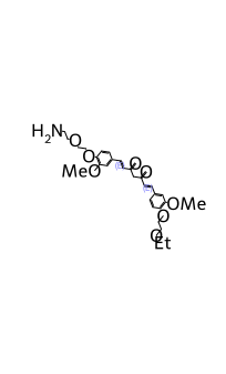 CCOCCOc1ccc(/C=C/C(=O)CC(=O)/C=C/c2ccc(OCCOCCN)c(OC)c2)cc1OC